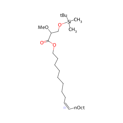 CCCCCCCC/C=C\CCCCCCCCOC(=O)C(CO[Si](C)(C)C(C)(C)C)OC